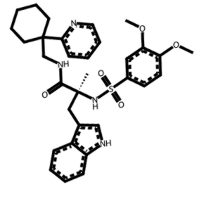 COc1ccc(S(=O)(=O)N[C@@](C)(Cc2c[nH]c3ccccc23)C(=O)NCC2(c3ccccn3)CCCCC2)cc1OC